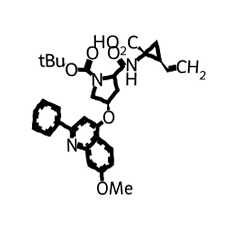 C=C[C@@H]1C[C@]1(NC(=O)C1C[C@@H](Oc2cc(-c3ccccc3)nc3cc(OC)ccc23)CN1C(=O)OC(C)(C)C)C(=O)O